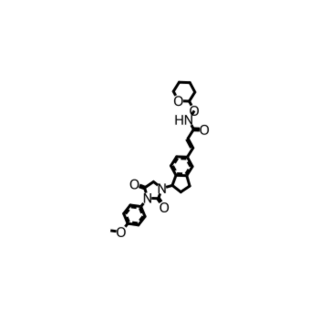 COc1ccc(N2C(=O)CN(C3CCc4cc(/C=C/C(=O)NOC5CCCCO5)ccc43)C2=O)cc1